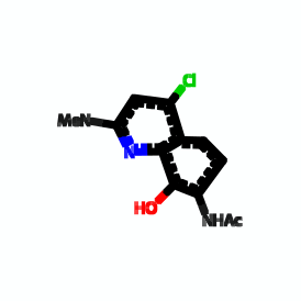 CNc1cc(Cl)c2ccc(NC(C)=O)c(O)c2n1